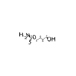 NC(=S)OCCCCO